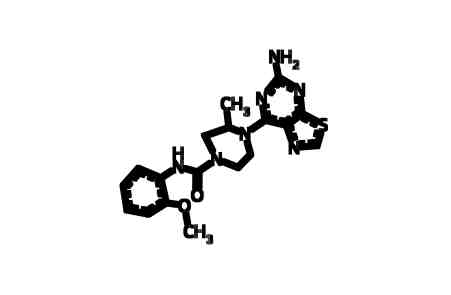 COc1ccccc1NC(=O)N1CCN(c2nc(N)nc3scnc23)C(C)C1